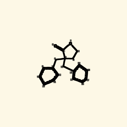 O=C1OCCC1(Cc1ccccc1)Cc1ccccc1